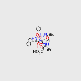 CC(C)C[C@H](NC(=O)[C@H](Cc1cccc2ccccc12)NC(=O)OCc1ccccc1)C(=O)N[C@@H](CC(C)C)[C@@H](O)CC(=O)O.CC[C@H](C)C(N)=O